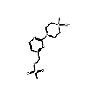 C[P]1(O)CCN(c2nccc(COS(C)(=O)=O)n2)CC1